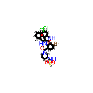 CS(=O)(=O)NC1CCCN(C(=O)c2ccc(Br)cc2NC2(Cc3cccc(Cl)c3)C(=O)Nc3cc(Cl)ccc32)C1